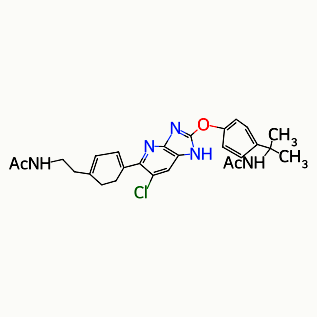 CC(=O)NCCC1=CC=C(c2nc3nc(Oc4ccc(C(C)(C)NC(C)=O)cc4)[nH]c3cc2Cl)CC1